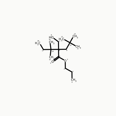 CCCOC(=O)C(CO)(CC(C)(C)C)C(C)(C)CC